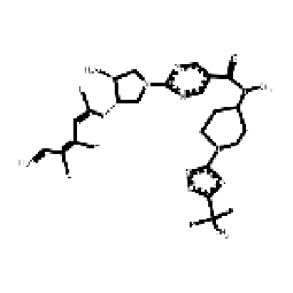 C=C/C(F)=C(F)\C=C(\F)C[C@H]1CN(c2ncc(C(=O)N(C)C3CCN(c4nc(C(C)(F)F)no4)CC3)cn2)C[C@@H]1N